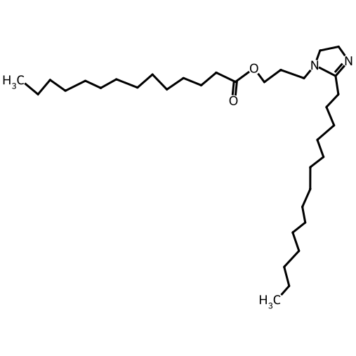 CCCCCCCCCCCCCCC1=NCCN1CCCOC(=O)CCCCCCCCCCCCC